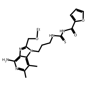 CCOCc1nc2c(N)nc(C)c(C)c2n1CCCNC(=S)NC(=O)c1ccco1